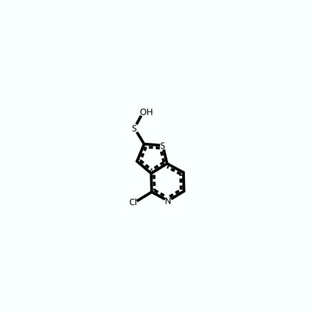 OSc1cc2c(Cl)nccc2s1